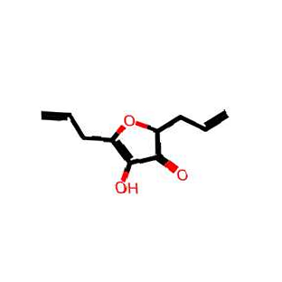 C=CCC1=C(O)C(=O)C(CC=C)O1